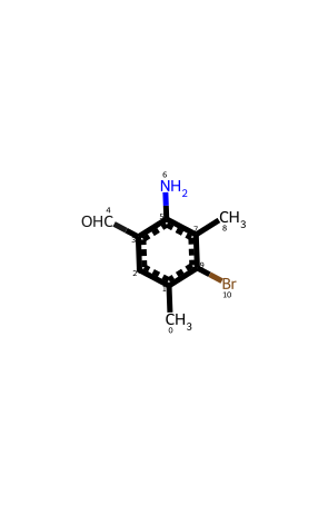 Cc1cc(C=O)c(N)c(C)c1Br